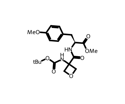 COC(=O)[C@H](Cc1ccc(OC)cc1)NC(=O)C1(NC(=O)OC(C)(C)C)COC1